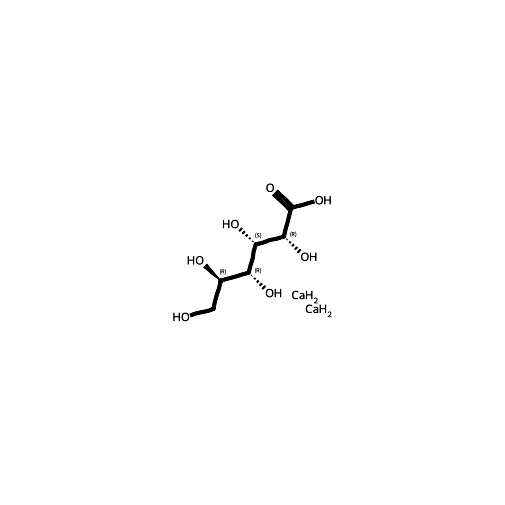 O=C(O)[C@H](O)[C@@H](O)[C@H](O)[C@H](O)CO.[CaH2].[CaH2]